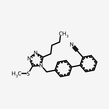 CCCCc1nnc(SC)n1Cc1ccc(-c2ccccc2C#N)cc1